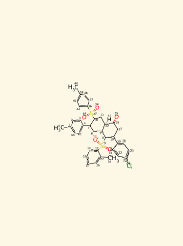 Cc1ccc(C2CC3C(S(=O)(=O)c4ccccc4C)C(c4ccc(Cl)cc4)CC(=O)[C@@H]3CC2S(=O)(=O)c2ccc(C)cc2)cc1